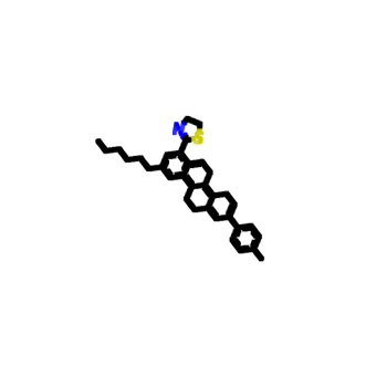 CCCCCCc1cc(C2=NCCS2)c2c(c1)=C1CCC3=CC(c4ccc(C)cc4)=CCC3=C1CC=2